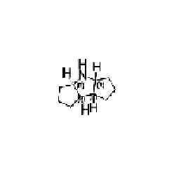 C1C[C@@H]2[C@H]3CCC[C@H]3N[C@@H]2C1